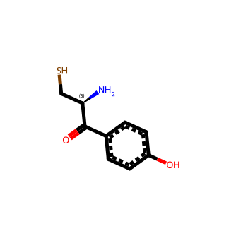 N[C@H](CS)C(=O)c1ccc(O)cc1